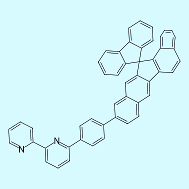 c1ccc(-c2cccc(-c3ccc(-c4ccc5cc6c(cc5c4)C4(c5ccccc5-c5ccccc54)c4c-6ccc5ccccc45)cc3)n2)nc1